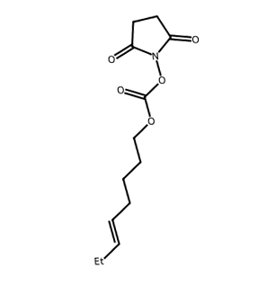 CC/C=C/CCCCOC(=O)ON1C(=O)CCC1=O